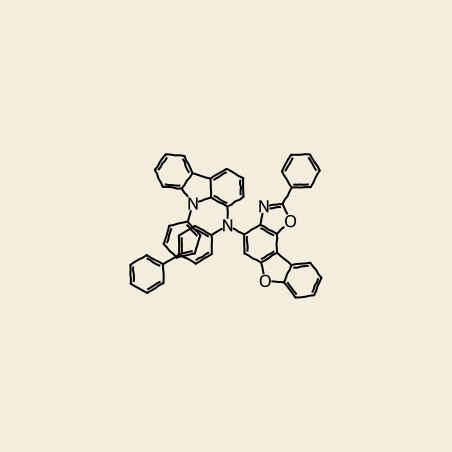 c1ccc(-c2ccc(N(c3cc4oc5ccccc5c4c4oc(-c5ccccc5)nc34)c3cccc4c5ccccc5n(-c5ccccc5)c34)cc2)cc1